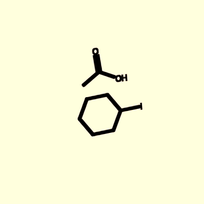 CC(=O)O.IC1CCCCC1